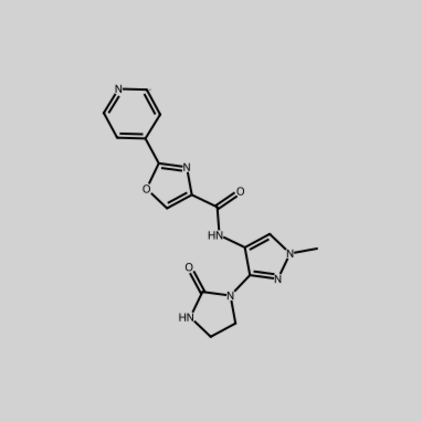 Cn1cc(NC(=O)c2coc(-c3c[c]ncc3)n2)c(N2CCNC2=O)n1